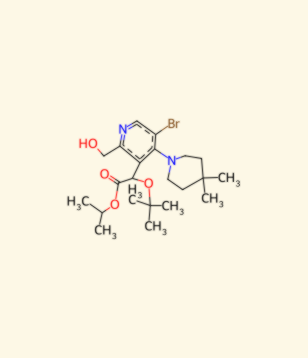 CC(C)OC(=O)C(OC(C)(C)C)c1c(CO)ncc(Br)c1N1CCC(C)(C)CC1